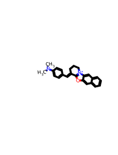 CN(C)c1ccc(C=C2CCC[n+]3c2oc2cc4ccccc4cc23)cc1